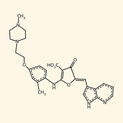 Cc1cc(OCCN2CCN(C)CC2)ccc1NC1=C(C(=O)O)C(=O)C(=Cc2c[nH]c3ncccc23)O1